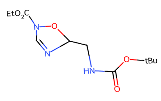 CCOC(=O)N1C=NC(CNC(=O)OC(C)(C)C)O1